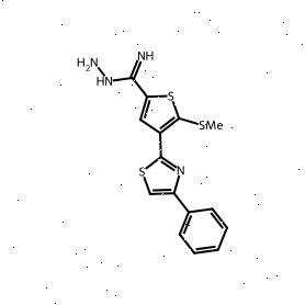 CSc1sc(C(=N)NN)cc1-c1nc(-c2ccccc2)cs1